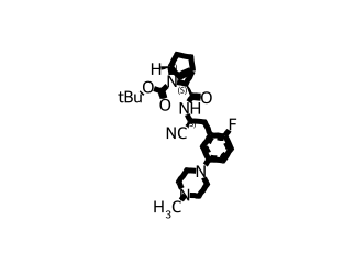 CN1CCN(c2ccc(F)c(C[C@@H](C#N)NC(=O)[C@@H]3C4=C[C@@H](CC4)N3C(=O)OC(C)(C)C)c2)CC1